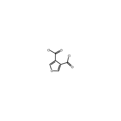 O=C(Cl)c1cocc1C(=O)Cl